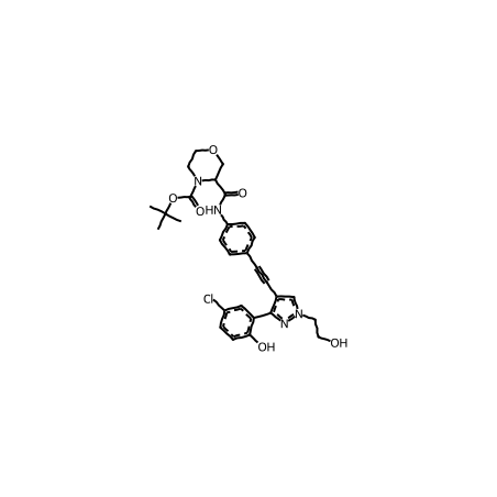 CC(C)(C)OC(=O)N1CCOCC1C(=O)Nc1ccc(C#Cc2cn(CCO)nc2-c2cc(Cl)ccc2O)cc1